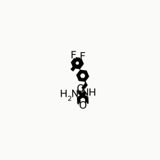 Cc1cc(F)c(F)cc1[C@H]1CC[C@H](CCNC2(C(N)=O)CCOCC2)CC1